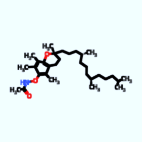 CC(=O)NOc1c(C)c(C)c2c(c1C)CC[C@@](C)(CCC[C@H](C)CCC[C@H](C)CCCC(C)C)O2